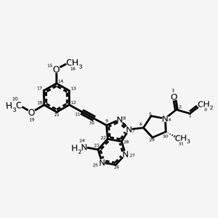 C=CC(=O)N1CC(n2nc(C#Cc3cc(OC)cc(OC)c3)c3c(N)ncnc32)C[C@H]1C